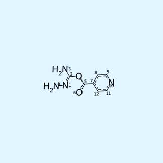 NN=C(N)OC(=O)c1ccncc1